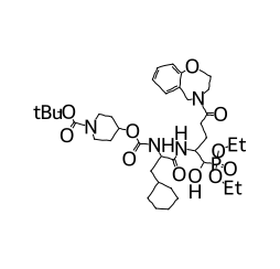 CCOP(=O)(OCC)C(O)C(CCC(=O)N1CCOc2ccccc2C1)NC(=O)C(CC1CCCCC1)NC(=O)OC1CCN(C(=O)OC(C)(C)C)CC1